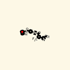 CCOc1cncc(-c2cc(C(=O)N3CCN(c4ccc(C(=O)NCC56CC7CC(CC(C7)C5)C6)cc4)CC3)cc(C(F)(F)F)c2)c1